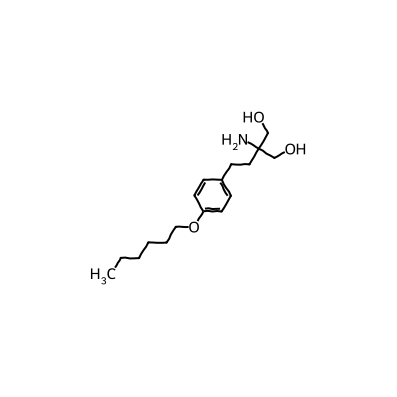 CCCCCCOc1ccc(CCC(N)(CO)CO)cc1